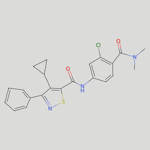 CN(C)C(=O)c1ccc(NC(=O)c2snc(-c3ccccc3)c2C2CC2)cc1Cl